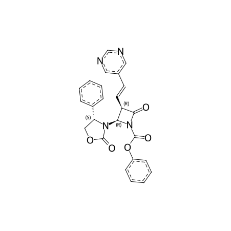 O=C(Oc1ccccc1)N1C(=O)[C@H](C=Cc2cncnc2)[C@@H]1N1C(=O)OC[C@@H]1c1ccccc1